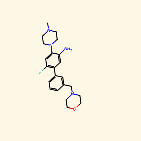 CN1CCN(c2cc(F)c(-c3cccc(CN4CCOCC4)c3)cc2N)CC1